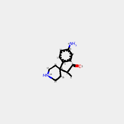 CC(C=O)C1(c2ccc(N)cc2)CCNCC1